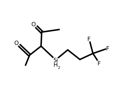 CC(=O)C([SiH2]CCC(F)(F)F)C(C)=O